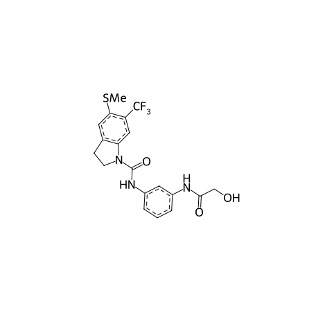 CSc1cc2c(cc1C(F)(F)F)N(C(=O)Nc1cccc(NC(=O)CO)c1)CC2